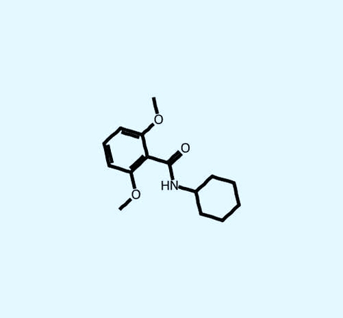 COc1cccc(OC)c1C(=O)NC1CCCCC1